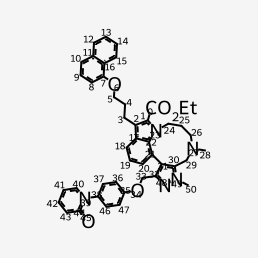 CCOC(=O)c1c(CCCOc2cccc3ccccc23)c2cccc3c2n1CCCN(C)Cc1c-3c(COc2ccc(-n3ccccc3=O)cc2)nn1C